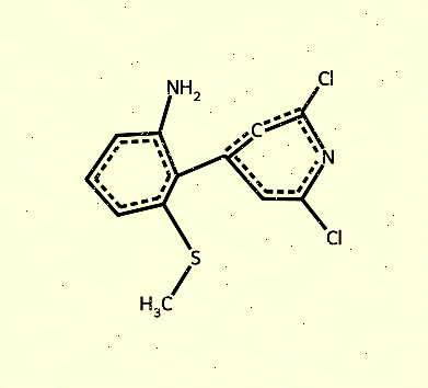 CSc1cccc(N)c1-c1cc(Cl)nc(Cl)c1